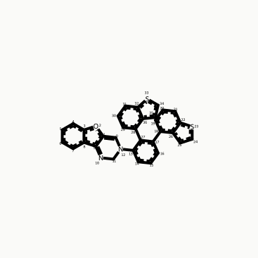 C1=c2oc3ccccc3c2=NCN1c1cccc(-c2cccc3sccc23)c1-c1cccc2sccc12